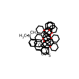 CN(C)c1ccc(/C=C2/OC(=S)N(C3(C4(C5(C6(C7(C8(C9(C%10(C%11(C%12(C%13(C%14(C%15(C%16(C%17CCCCC%17)CCCCC%16)CCCCC%15)CCCCC%14)CCCCC%13)CCCCC%12)CCCCC%11)CCCCC%10)CCCCC9)CCCCC8)CCCCC7)CCCCC6)CCCCC5)CCCCC4)CCCCC3)C2=O)cc1